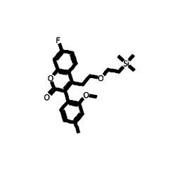 COc1cc(C)ccc1-c1c(CCOCC[Si](C)(C)C)c2ccc(F)cc2oc1=O